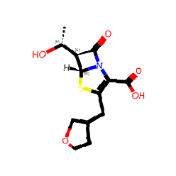 C[C@@H](O)[C@H]1C(=O)N2C(C(=O)O)=C(CC3CCOC3)S[C@H]12